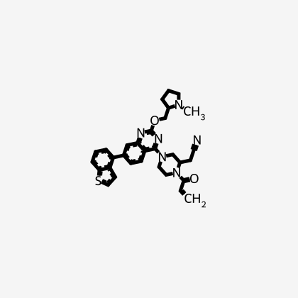 C=CC(=O)N1CCN(c2nc(OCC3CCCN3C)nc3cc(-c4cccc5sccc45)ccc23)CC1CC#N